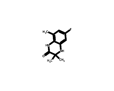 Cc1cc(F)cc2c1NC(=O)C(C)(C)N2